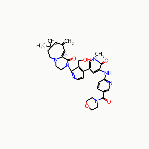 C=C1/C=C2/C(=O)N(c3nccc(-c4cc(Nc5ccc(C(=O)N6CCOCC6)cn5)c(=O)n(C)c4)c3CO)CCN2CCC(C)(C)C1